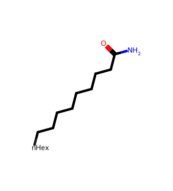 CCCCCCCCCCCCCCC(N)=O